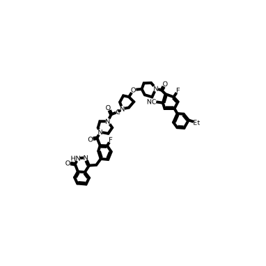 CCc1cccc(-c2cc(F)c(C(=O)N3CCC(OC4CCN(CC(=O)N5CCN(C(=O)c6cc(Cc7n[nH]c(=O)c8ccccc78)ccc6F)CC5)CC4)CC3)c(C#N)c2)c1